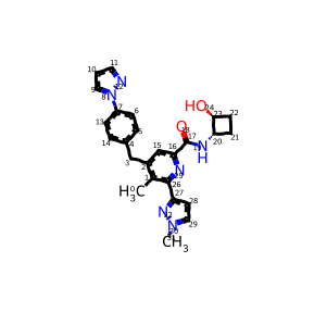 Cc1c(Cc2ccc(-n3cccn3)cc2)cc(C(=O)N[C@H]2CC[C@@H]2O)nc1-c1ccn(C)n1